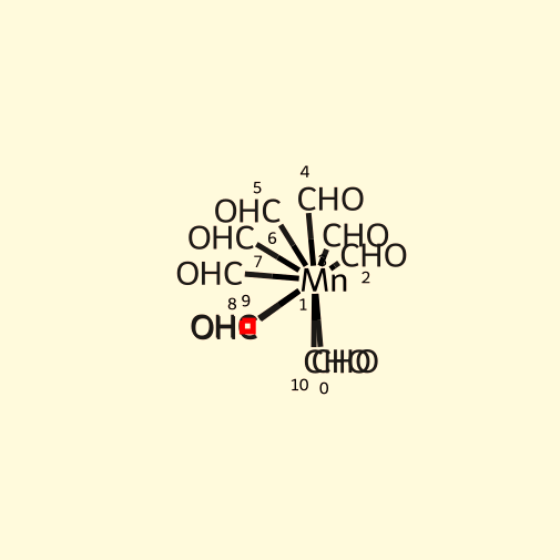 O=[CH][Mn]([CH]=O)([CH]=O)([CH]=O)([CH]=O)([CH]=O)([CH]=O)([CH]=O)([CH]=O)[CH]=O